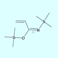 C=C/C(=N\[Si](C)(C)C)O[Si](C)(C)C